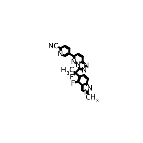 Cn1cc2c(F)c(C(C)(F)c3nnc4ccc(-c5ccc(C#N)nc5)nn34)ccc2n1